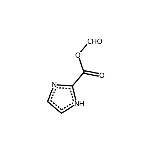 O=COC(=O)c1ncc[nH]1